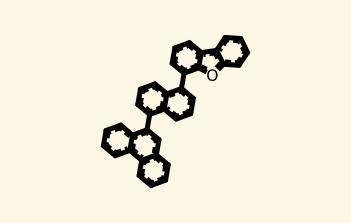 c1ccc2c(c1)cc(-c1cccc3c(-c4cccc5c4oc4ccccc45)cccc13)c1ccccc12